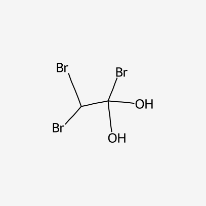 OC(O)(Br)C(Br)Br